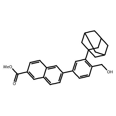 COC(=O)c1ccc2cc(-c3ccc(CO)c(C45CC6CC(CC(C6)C4)C5)c3)ccc2c1